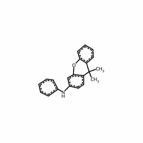 CC1(C)c2ccccc2Oc2cc(Nc3ccccc3)ccc21